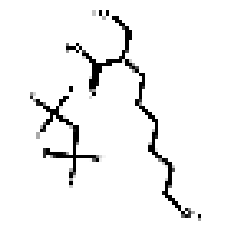 CCCCCCCC(CC)C(=O)O.FC(F)(F)CC(F)(F)F